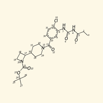 CCC(=O)NC(=O)Nc1cc(C(=O)N2CCC(C3CCN3C(=O)OC(C)(C)C)CC2)ccc1Cl